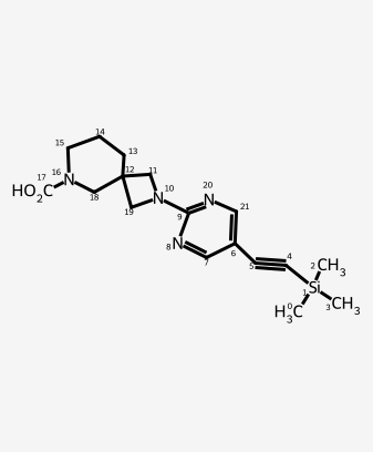 C[Si](C)(C)C#Cc1cnc(N2CC3(CCCN(C(=O)O)C3)C2)nc1